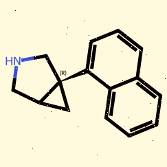 c1ccc2c([C@]34CNCC3C4)cccc2c1